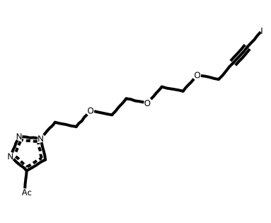 CC(=O)c1cn(CCOCCOCCOCC#CI)nn1